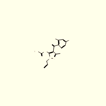 C=CCn1nc(C)c(C(=O)c2ccc(Cl)cc2Cl)c1OC(=O)C(C)C